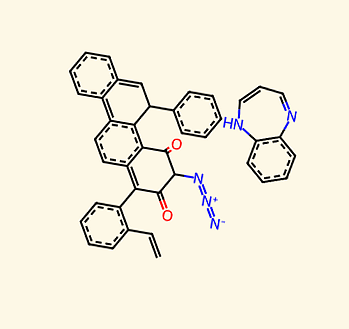 C1=CNc2ccccc2N=C1.C=Cc1ccccc1C1=c2ccc3c(c2C(=O)C(N=[N+]=[N-])C1=O)C(c1ccccc1)C=c1ccccc1=3